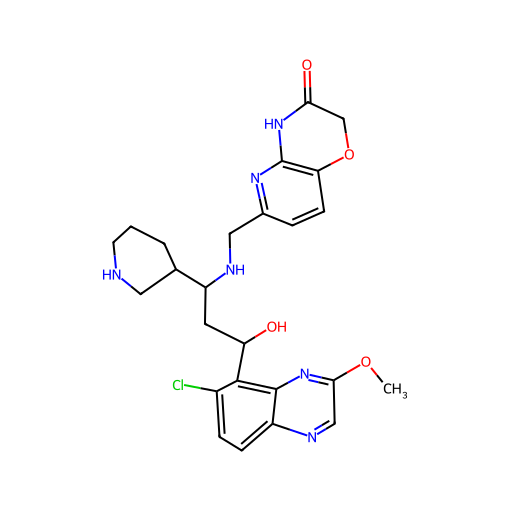 COc1cnc2ccc(Cl)c(C(O)CC(NCc3ccc4c(n3)NC(=O)CO4)C3CCCNC3)c2n1